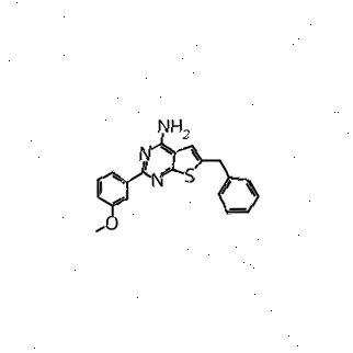 COc1cccc(-c2nc(N)c3cc(Cc4ccccc4)sc3n2)c1